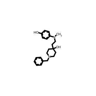 CN(CCC1(O)CCN(Cc2ccccc2)CC1)c1ccc(O)cc1